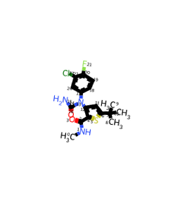 CNC(=O)c1sc(C(C)(C)C)cc1N(C(N)=O)c1ccc(F)c(Cl)c1